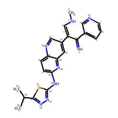 CN/C=C(\C(=N)c1cccnc1)c1cnc2ccc(Nc3nnc(C(C)C)s3)nc2c1